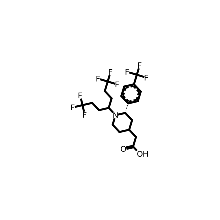 O=C(O)CC1CCN(C(CCC(F)(F)F)CCC(F)(F)F)[C@H](c2ccc(C(F)(F)F)cc2)C1